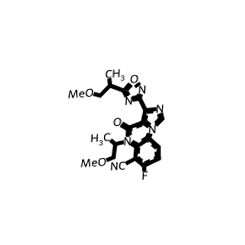 COCC(C)c1nc(-c2ncn3c2c(=O)n(C(C)COC)c2c(C#N)c(F)ccc23)no1